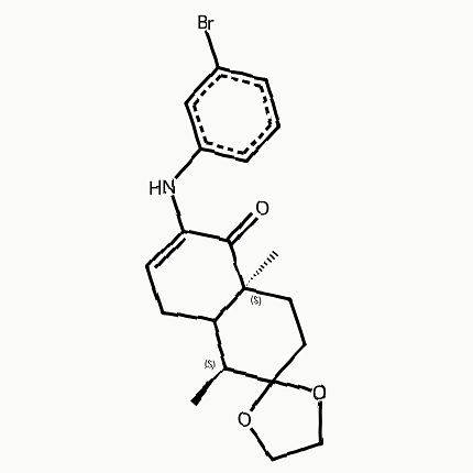 C[C@H]1C2CC=C(Nc3cccc(Br)c3)C(=O)[C@@]2(C)CCC12OCCO2